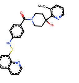 COc1cccnc1C1(O)CCN(C(=O)c2ccc(NSc3cccc4cccnc34)cc2)CC1